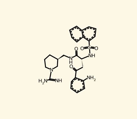 N=C(N)N1CCC[C@@H](CNC(=O)[C@@H](CC(=O)c2ccccc2N)NS(=O)(=O)c2cccc3ccccc23)C1